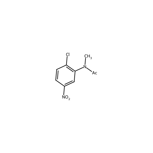 CC(=O)N(C)c1cc([N+](=O)[O-])ccc1Cl